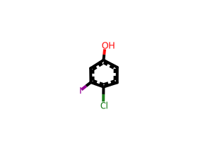 Oc1ccc(Cl)c(I)c1